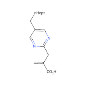 C=C(Cc1ncc(CCCCCCCC)cn1)C(=O)O